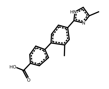 Cc1c[nH]c(-c2ccc(-c3ccc(C(=O)O)cc3)c(C)c2)n1